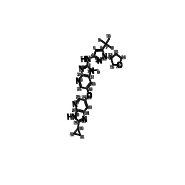 Cn1c(Nc2cc(C(C)(C)C)n([C@@H]3CCOC3)n2)nc2ncc(Oc3cnc4[nH]c(C5CC5)nc4c3)cc21